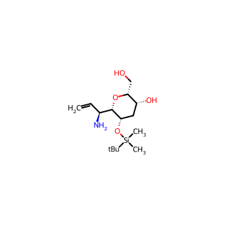 C=C[C@H](N)[C@@H]1O[C@H](CO)[C@H](O)C[C@@H]1O[Si](C)(C)C(C)(C)C